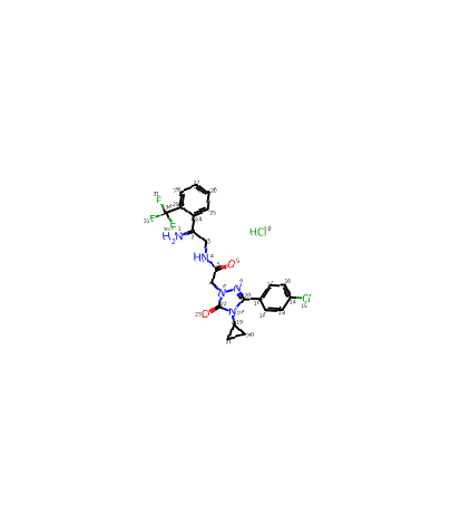 Cl.NC(CNC(=O)Cn1nc(-c2ccc(Cl)cc2)n(C2CC2)c1=O)c1ccccc1C(F)(F)F